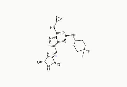 O=C1NC(=O)/C(=C/c2cnn3c(NC4CC4)cc(NC4CCC(F)(F)CC4)nc23)N1